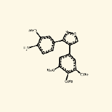 COc1cc(-c2nocc2-c2cc(OC)c(OC)c(OC)c2)ccc1N